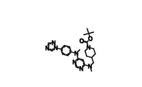 CN(CC1CCN(C(=O)OC(C)(C)C)CC1)c1cc(N(C)c2ccc(-n3cncn3)cc2)ncn1